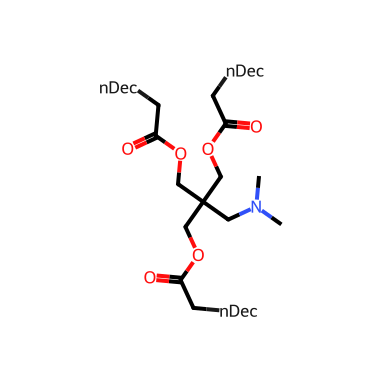 CCCCCCCCCCCC(=O)OCC(COC(=O)CCCCCCCCCCC)(COC(=O)CCCCCCCCCCC)CN(C)C